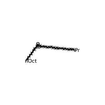 CCCCCCCCC=CCCCCCCCCCCCC(=O)OCCCCCCCCCCCCCCCCCCCCCCCCCC(C)C